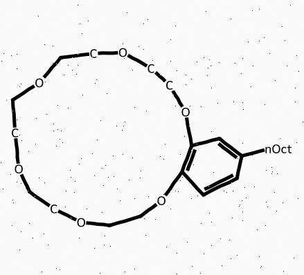 CCCCCCCCc1ccc2c(c1)OCCOCCOCCOCCOCCO2